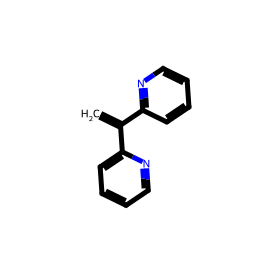 C=C(c1ccc[c]n1)c1ccccn1